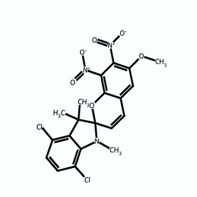 COc1cc2c(c([N+](=O)[O-])c1[N+](=O)[O-])OC1(C=C2)N(C)c2c(Cl)ccc(Cl)c2C1(C)C